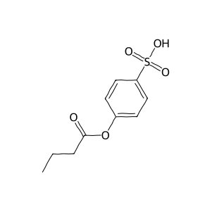 CCCC(=O)Oc1ccc(S(=O)(=O)O)cc1